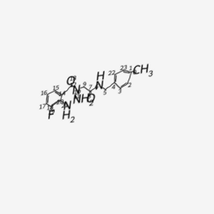 Cc1ccc(CNC(=O)CN(N)C(=O)c2cccc(F)c2N)cc1